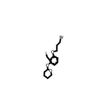 BrCCCOc1cccc(OC2CCCCO2)c1CI